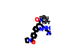 CCCCN(CCC)C(=O)C1=Cc2ccc(-c3ccc(C(=O)N4CCCC4)cc3)cc2N=C(NCCN(C)C)C1